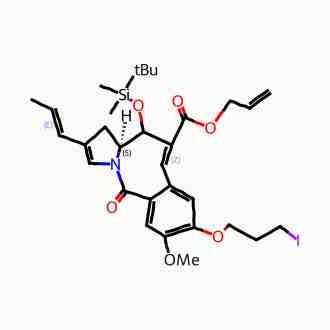 C=CCOC(=O)/C1=C\c2cc(OCCCI)c(OC)cc2C(=O)N2C=C(/C=C/C)C[C@H]2C1O[Si](C)(C)C(C)(C)C